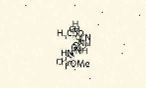 COc1c(F)c(Cl)cc2[nH]c(C(=O)N[C@@H](CC3CC3)C(=O)N[C@H](C#N)C[C@@H]3CC(C)(C)NC3=O)cc12